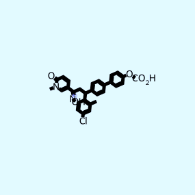 Cc1cc(Cl)ccc1C(C/C(=N\O)c1ccc(=O)n(C)c1)c1ccc(-c2ccc(OC(=O)O)cc2)cc1